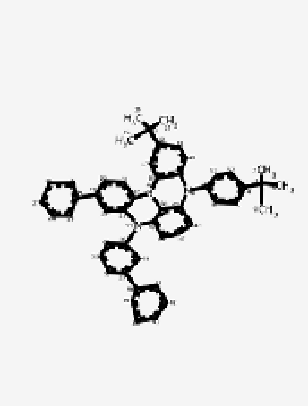 CC(C)(C)c1ccc(N2c3ccc(C(C)(C)C)cc3B3c4ccc(-c5ccccc5)cc4N(c4cccc(-c5ccccc5)c4)c4cccc2c43)cc1